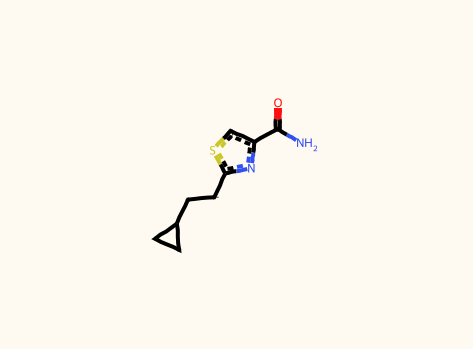 NC(=O)c1csc([CH]CC2CC2)n1